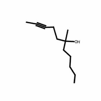 CC#CCCC(C)(O)CCCCC